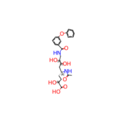 CC(=O)N[C@H](CC[C@@H](O)C(=O)O)C[C@H](O)[C@H](O)CNC(=O)c1cccc(Oc2ccccc2)c1